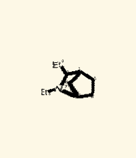 CCC1C2CCC(C2)N1CC